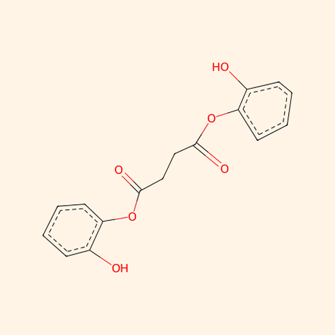 O=C(CCC(=O)Oc1ccccc1O)Oc1ccccc1O